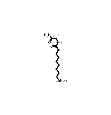 CCCCCCCCCCCCCCCCCC(=O)N[C@@H](C)C(N)=O